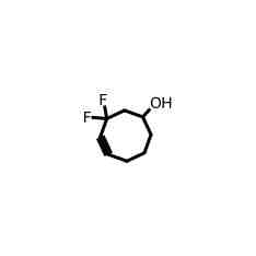 OC1CCCC#CC(F)(F)C1